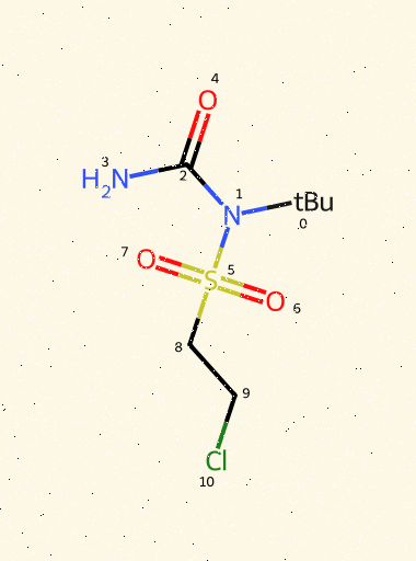 CC(C)(C)N(C(N)=O)S(=O)(=O)CCCl